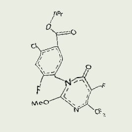 CCCOC(=O)c1cc(-n2c(OC)nc(C(F)(F)F)c(F)c2=O)c(F)cc1Cl